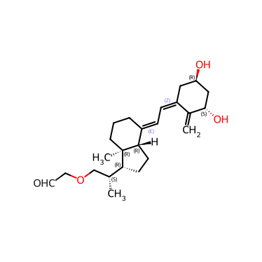 C=C1/C(=C\C=C2/CCC[C@]3(C)[C@@H]([C@H](C)COCC=O)CC[C@@H]23)C[C@@H](O)C[C@@H]1O